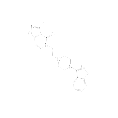 Cc1noc2ccn(CCN3CCN(c4nsc5ccccc45)CC3)c(=O)c12